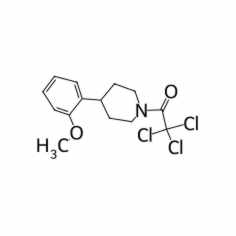 COc1ccccc1C1CCN(C(=O)C(Cl)(Cl)Cl)CC1